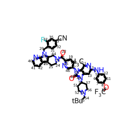 Cc1nc(Nc2ccc(OC(F)(F)F)cc2)cc2c1n(-c1ccc(C(=O)N3CCc4c(n(Cc5ccc(C#N)cc5F)c5ncccc45)C3)nc1)c(=O)n2C1CCN(CC(C)(C)C)CC1